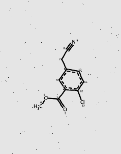 COC(=O)c1cc(CC#N)ccc1Cl